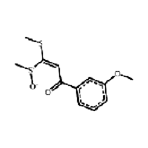 COc1cccc(C(=O)C=C(SC)[S+](C)[O-])c1